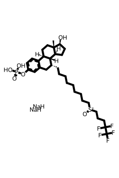 C[C@]12CC[C@@H]3c4ccc(OP(=O)(O)O)cc4C[C@@H](CCCCCCCCC[S+]([O-])CCCC(F)(F)C(F)(F)F)[C@H]3[C@@H]1CC[C@@H]2O.[NaH].[NaH]